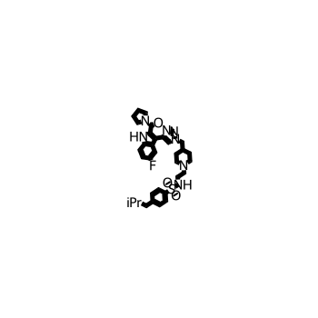 CC(C)Cc1ccc(S(=O)(=O)NCCN2CCC(Cn3cc(-c4c(C(=O)N5CCCC5)[nH]c5ccc(F)cc45)nn3)CC2)cc1